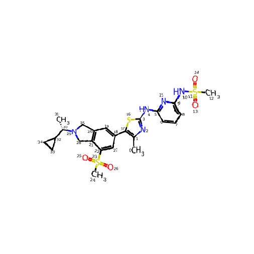 Cc1nc(Nc2cccc(NS(C)(=O)=O)n2)sc1-c1cc2c(c(S(C)(=O)=O)c1)CN([C@@H](C)C1CC1)C2